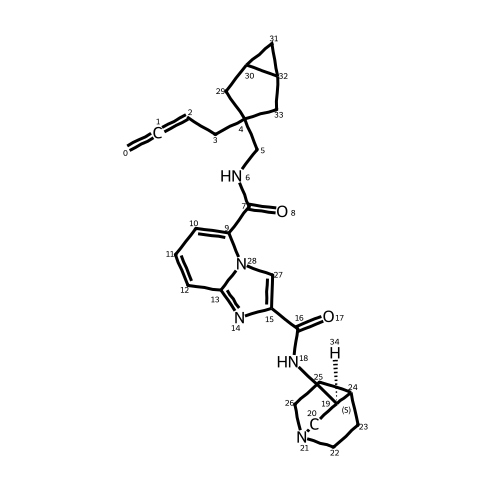 C=C=CCC1(CNC(=O)c2cccc3nc(C(=O)N[C@@H]4CN5CCC4CC5)cn23)CC2CC2C1